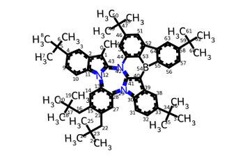 Cc1c2cc(C(C)(C)C)ccc2n2c3cc(CC(C)(C)C)c(CC(C)(C)C)cc3n3c4ccc(C(C)(C)C)cc4c4c3n(c12)-c1cc(C(C)(C)C)cc2c1B4c1ccc(C(C)(C)C)cc1-2